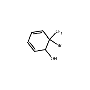 OC1C=CC=CC1(Br)C(F)(F)F